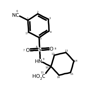 N#Cc1cccc(S(=O)(=O)NC2(C(=O)O)CCCCC2)c1